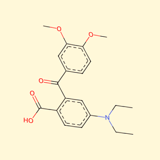 CCN(CC)c1ccc(C(=O)O)c(C(=O)c2ccc(OC)c(OC)c2)c1